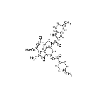 COC(=O)c1c(C)[nH]c2c(OC(=O)N3CCN(C)CC3)cc3c(c12)[C@H](CCl)CN3C(=O)c1cc2cc(C)ccc2[nH]1